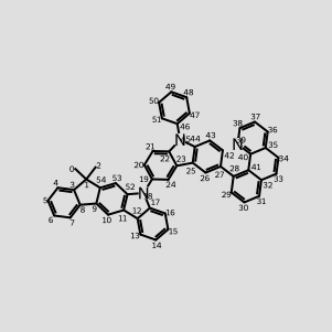 CC1(C)c2ccccc2-c2cc3c4ccccc4n(-c4ccc5c(c4)c4cc(-c6cccc7ccc8cccnc8c67)ccc4n5-c4ccccc4)c3cc21